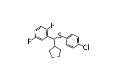 Fc1ccc(F)c(C(Sc2ccc(Cl)cc2)C2CCCC2)c1